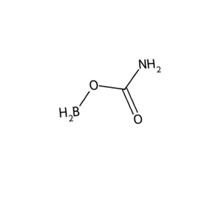 BOC(N)=O